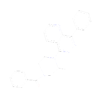 CC1CN(C(=O)c2ccccc2)CCN1c1nnc(-c2ccccc2)c2ncccc12